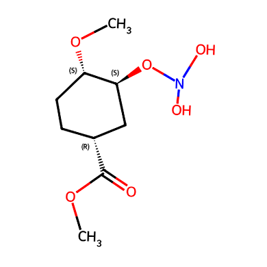 COC(=O)[C@@H]1CC[C@H](OC)[C@@H](ON(O)O)C1